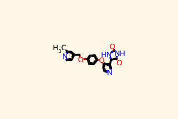 Cc1cc(COc2ccc(Oc3ccncc3C3NC(=O)NC3=O)cc2)ccn1